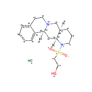 Cl.O=S(=O)(CCO)N1CCC[C@@H]2CN3CCc4ccccc4[C@@H]3C[C@@H]21